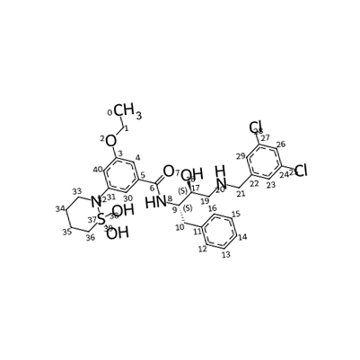 CCOc1cc(C(=O)N[C@@H](Cc2ccccc2)[C@@H](O)CNCc2cc(Cl)cc(Cl)c2)cc(N2CCCCS2(O)O)c1